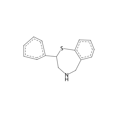 c1ccc(C2CNCc3ccccc3S2)cc1